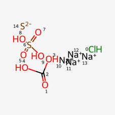 Cl.O=C(O)O.O=S(=O)(O)O.[Na+].[Na+].[Na+].[Na+].[S-2]